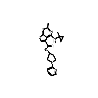 Cc1nc(NC2(C)CC2)c2c(C(=O)NC3CCN(c4ccccn4)C3)coc2n1